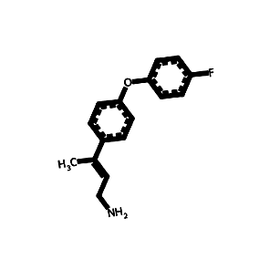 CC(=CCN)c1ccc(Oc2ccc(F)cc2)cc1